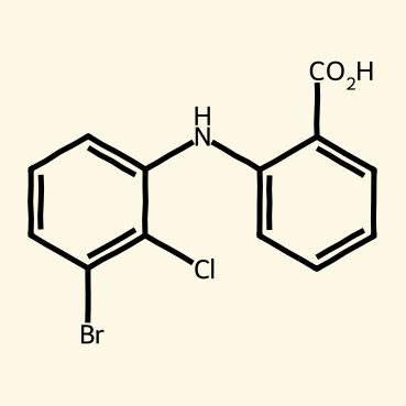 O=C(O)c1ccccc1Nc1cccc(Br)c1Cl